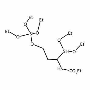 CCOC(=O)NC(CCO[Si](OCC)(OCC)OCC)[SiH](OCC)OCC